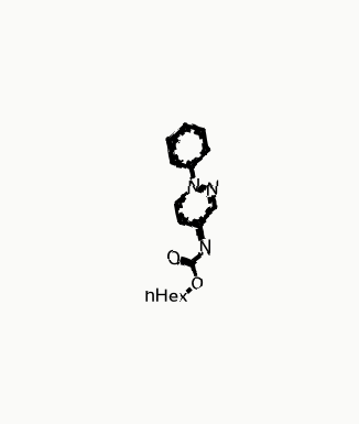 CCCCCCOC(=O)/N=c1\ccn(-c2ccccc2)nc1